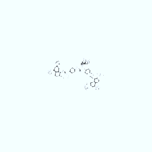 Nc1ccc2c(S(=O)(=O)[O-])cc(S(=O)(=O)[O-])cc2c1N=Nc1ccc(NC(=O)Nc2ccc(N=Nc3c(N)ccc4c(S(=O)(=O)[O-])cc(S(=O)(=O)[O-])cc34)cc2)cc1.[Na+].[Na+].[Na+].[Na+]